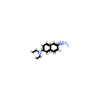 CCN(CC)c1ccc2cc(N)ccc2c1